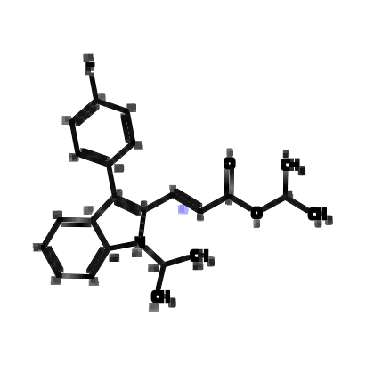 CC(C)OC(=O)/C=C/c1c(-c2ccc(F)cc2)c2ccccc2n1C(C)C